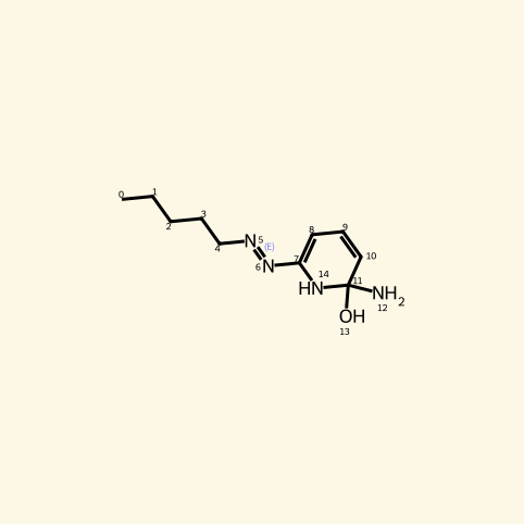 CCCCC/N=N/C1=CC=CC(N)(O)N1